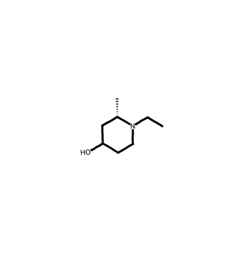 CCN1CCC(O)C[C@@H]1C